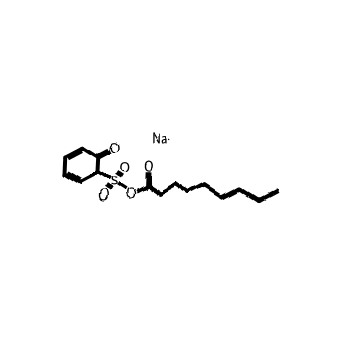 CCCCCCCCC(=O)OS(=O)(=O)C1C=CC=CC1=O.[Na]